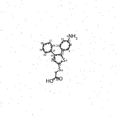 Nc1ccc(-c2sc(SCC(=O)O)nc2-c2ccccc2)cc1